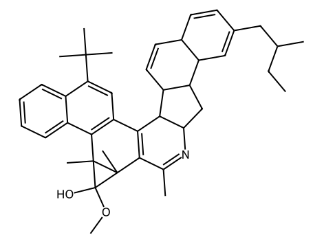 CCC(C)CC1=CC2C(C=C1)C=CC1C2CC2N=C(C)C3=C(c4cc(C(C)(C)C)c5ccccc5c4C4(C)C(O)(OC)C34C)C21